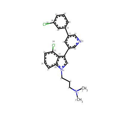 CN(C)CCCn1cc(-c2cncc(-c3cccc(Cl)c3)c2)c2c(Cl)cccc21